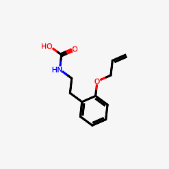 C=CCOc1ccccc1CCNC(=O)O